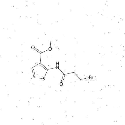 COC(=O)c1ccsc1NC(=O)CCBr